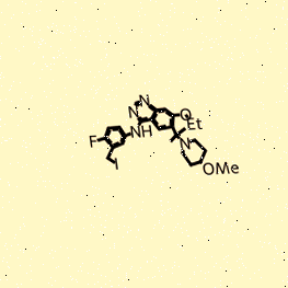 CCOc1cc2ncnc(Nc3ccc(F)c(CI)c3)c2cc1C(C)(C)N1CCC(OC)CC1